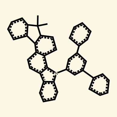 CC1(C)c2ccccc2-c2c1ccc1c2ccc2c3ccccc3n(-c3cc(-c4ccccc4)cc(-c4ccccc4)c3)c12